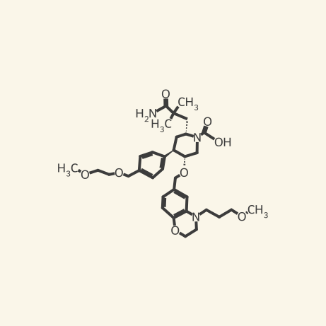 COCCCN1CCOc2ccc(CO[C@H]3CN(C(=O)O)[C@@H](CC(C)(C)C(N)=O)C[C@@H]3c3ccc(COCCOC)cc3)cc21